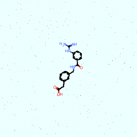 N=C(N)Nc1cccc(C(=O)NCc2cccc(CC(=O)O)c2)c1